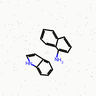 Nc1cccc2ccccc12.c1ccc2[nH]ccc2c1